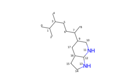 CC(C)C(C)CCC(C)C1CNC2NCCC2C1